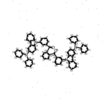 O=C(c1cccc(-n2c3ccccc3c3cc(N(c4ccccc4)c4ccccc4)ccc32)c1)c1ccccc1C(=O)c1cccc(-n2c3ccccc3c3cc(N(c4ccccc4)c4ccccc4)ccc32)c1